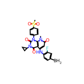 Bc1ccc(Nc2cc(=O)n(C)c3c2c(=O)n(C2CC2)c(=O)n3-c2ccc(S(C)(=O)=O)cc2)c(F)c1